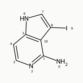 Nc1nccc2[nH]cc(I)c12